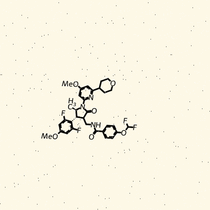 COc1cc(C2CCOCC2)nc(N2C(=O)C(CNC(=O)c3ccc(OC(F)F)cc3)[C@H](c3c(F)cc(OC)cc3F)[C@H]2C)c1